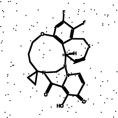 O=C1c2c(O)c(=O)ccn2N2CN1C1(CCCOc3cc(F)c(F)c4c3[C@@H]2c2ccccc2SC4)CC1